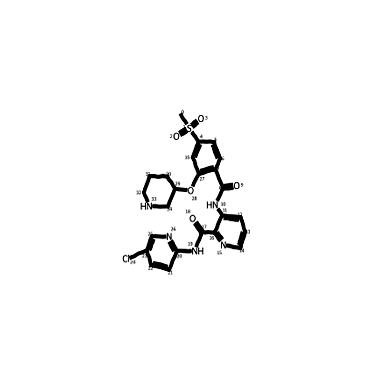 CS(=O)(=O)c1ccc(C(=O)Nc2cccnc2C(=O)Nc2ccc(Cl)cn2)c(OC2CCCNC2)c1